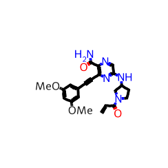 C=CC(=O)N1CCC(Nc2cnc(C(N)=O)c(C#Cc3cc(OC)cc(OC)c3)n2)C1